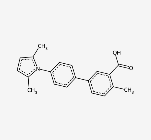 Cc1ccc(-c2ccc(-n3c(C)ccc3C)cc2)cc1C(=O)O